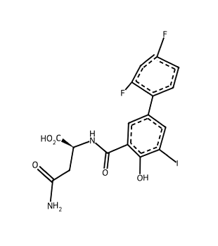 NC(=O)C[C@H](NC(=O)c1cc(-c2ccc(F)cc2F)cc(I)c1O)C(=O)O